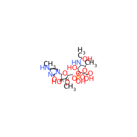 CNc1ccn(C2OC(COP(=O)(O)OC3(C(=O)O)CC(O)C(NC(C)O)C(C)O3)[C@@H](OC)[C@H]2O)c(=O)n1